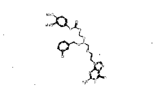 COc1ccc(OC(=O)OCOP(COCCn2cnc3c(=O)[nH]c(N)nc32)OCc2cccc(Cl)c2)cc1OC